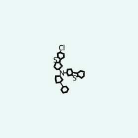 Clc1ccc2c(c1)sc1ccc(N(c3cccc(-c4ccccc4)c3)c3ccc4c(c3)sc3ccccc34)cc12